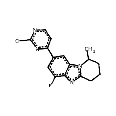 CC1CCCc2nc3c(F)cc(-c4ccnc(Cl)n4)cc3n21